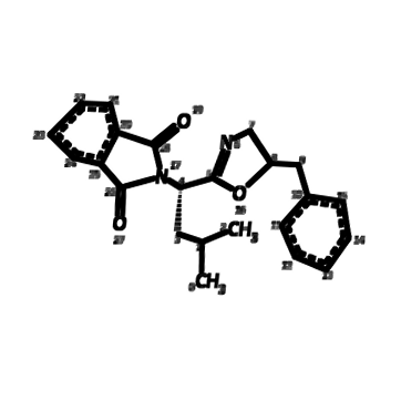 CC(C)C[C@@H](C1=NCC(Cc2ccccc2)O1)N1C(=O)c2ccccc2C1=O